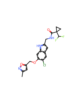 Cc1cc(COc2cc3[nH]c(CNC(=O)C4(C(F)F)CC4)cc3cc2Cl)on1